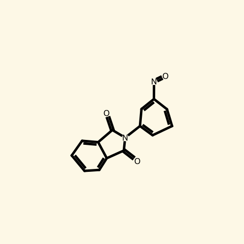 O=Nc1cccc(N2C(=O)c3ccccc3C2=O)c1